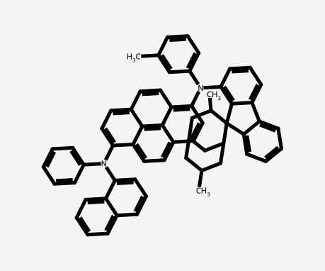 Cc1cccc(N(c2cccc3c2C2(c4ccccc4-3)C(C)CC3CC(C)CC2C3)c2ccc3ccc4c(N(c5ccccc5)c5cccc6ccccc56)ccc5ccc2c3c54)c1